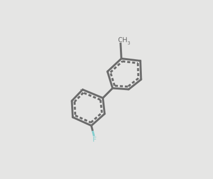 Cc1cccc(-c2[c]ccc(F)c2)c1